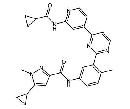 Cc1ccc(NC(=O)c2cc(C3CC3)n(C)n2)cc1-c1nccc(-c2ccnc(NC(=O)C3CC3)c2)n1